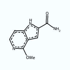 COc1nccc2[nH]c(C(N)=O)cc12